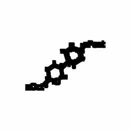 CCCCCCCCC1CCC(c2ccc(CCCCC)cc2)CO1